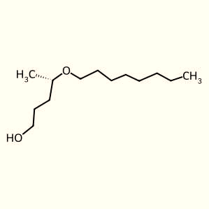 CCCCCCCCO[C@@H](C)CCCO